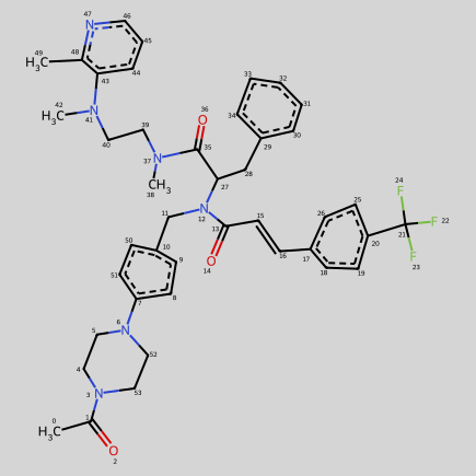 CC(=O)N1CCN(c2ccc(CN(C(=O)C=Cc3ccc(C(F)(F)F)cc3)C(Cc3ccccc3)C(=O)N(C)CCN(C)c3cccnc3C)cc2)CC1